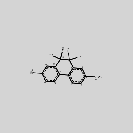 CCCCCCc1ccc2c(c1)C(F)(F)C(F)(F)c1cc(Br)ccc1-2